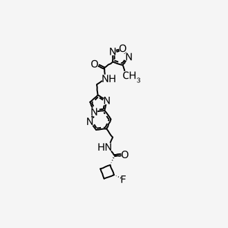 Cc1nonc1C(=O)NCc1cn2ncc(CNC(=O)[C@H]3CC[C@H]3F)cc2n1